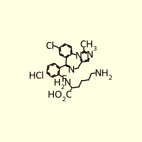 Cc1ncc2n1-c1ccc(Cl)cc1C(c1ccccc1F)=NC2.Cl.NCCCC[C@H](N)C(=O)O